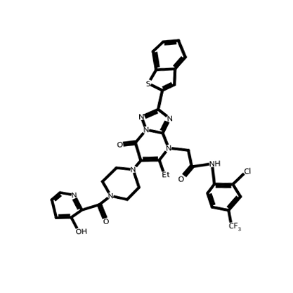 CCc1c(N2CCN(C(=O)c3ncccc3O)CC2)c(=O)n2nc(-c3cc4ccccc4s3)nc2n1CC(=O)Nc1ccc(C(F)(F)F)cc1Cl